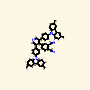 Cc1ccc2c(c1)c1cc(C)ccc1n2-c1ccc(-c2cncc(-c3ccc(-n4c5ccc(C)cc5c5cc(C)ccc54)cc3)c2-c2ccc(C#N)c(C#N)c2)cc1